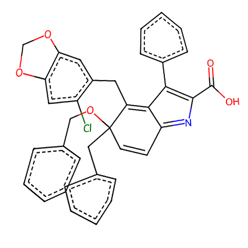 O=C(O)C1=C(c2ccccc2)C2=C(Cc3cc4c(cc3Cl)OCO4)C(Cc3ccccc3)(OCc3ccccc3)C=CC2=N1